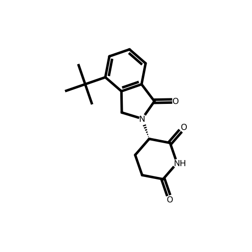 CC(C)(C)c1cccc2c1CN([C@H]1CCC(=O)NC1=O)C2=O